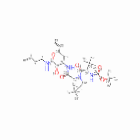 C=CCCNC(=O)C(=O)[C@@H](CCC=C)NC(=O)[C@@H]1C2C(CN1C(=O)[C@@H](NC(=O)OC(C)(C)C)C(C)(C)C)C2(C)C